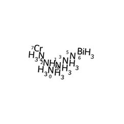 N.N.N.N.N.N.[BiH3].[Cr]